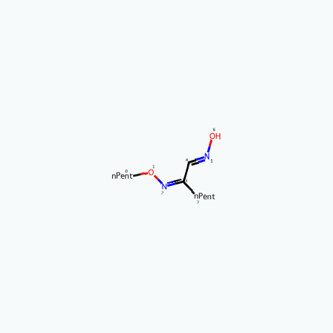 CCCCCON=C(C=NO)CCCCC